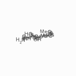 COOP(=S)(OC)OCCOCCOCCOP(=O)(O)OCC(CO)CCCCNC(N)=O